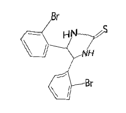 S=C1NC(c2ccccc2Br)C(c2ccccc2Br)N1